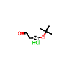 CC(C)(C)[O][Zn][CH2]C=O.Cl